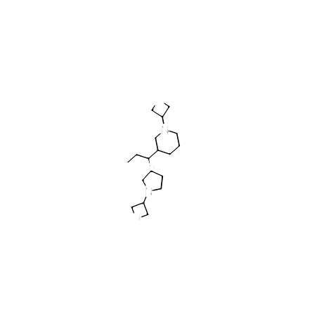 CCC(C1C[C@@H](C)CN(C2COC2)C1)[C@H]1CCN(C2COC2)C1